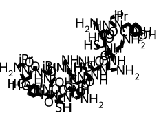 CC[C@H](C)[C@H](NC(=O)[C@@H]1C[C@@H](O)CN1C(=O)[C@@H](N)C(C)C)C(=O)N[C@H](C(=O)N[C@@H](Cc1ccc(O)cc1)C(=O)N[C@H](C(=O)N[C@@H](CC(N)=O)C(=O)N[C@@H](CCCNC(=N)N)C(=O)N[C@@H](CCN)C(=O)N[C@H](C(=O)N[C@H](CCN)C(=O)N[C@@H](CCCCN)C(=O)N[C@@H](CS)C(=O)N[C@@H](CCN)C(=O)N[C@@H](CC(C)C)C(=O)N[C@@H](Cc1ccc(O)cc1)C(=O)O)[C@@H](C)O)C(C)(C)S)[C@@H](C)O